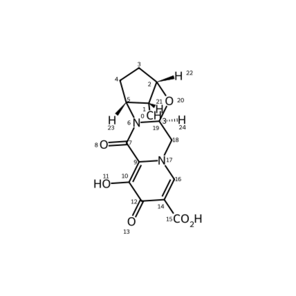 C[C@H]1[C@@H]2CC[C@H]1N1C(=O)c3c(O)c(=O)c(C(=O)O)cn3C[C@@H]1O2